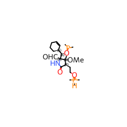 CO[C@@]1(C)[C@@H](CCO[PH](C)(C)C)C(=O)N[C@]1(C=O)[C@@H](OP(C)C)[C@@H]1C=CCCC1